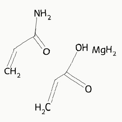 C=CC(=O)O.C=CC(N)=O.[MgH2]